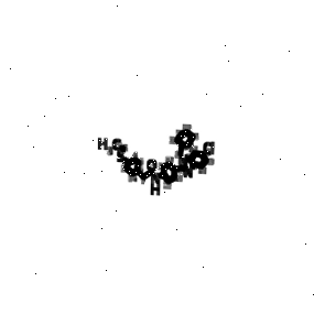 CCSc1ccc(CC(=O)Nc2ccc(-c3nc4ccc(Cl)cc4n3Cc3ccccc3)cc2)cc1